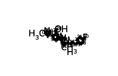 Cc1cn(-c2ccc(-c3cc(C)c(NCCc4ccc(F)cc4)nn3)nc2CO)cn1